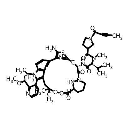 CC#CC(=O)N1CCC(C(=O)N(C)[C@H](C(=O)N[C@H]2Cc3nc(c(N)s3)-c3ccc4c(c3)c(c(-c3cccnc3[C@H](C)OC)n4CC)CC(C)(C)COC(=O)[C@@H]3CCCN(N3)C2=O)C(C)C)C1